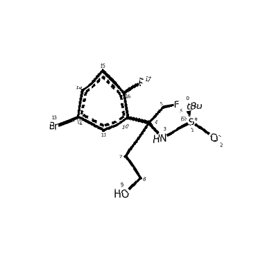 CC(C)(C)[S@@+]([O-])NC(CF)(CCO)c1cc(Br)ccc1F